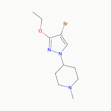 CCOc1nn(C2CCN(C)CC2)cc1Br